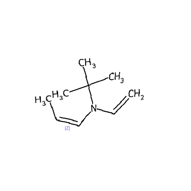 C=CN(/C=C\C)C(C)(C)C